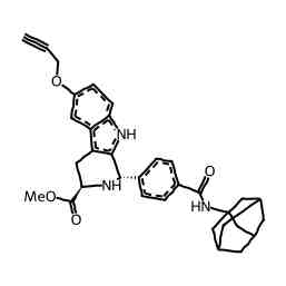 C#CCOc1ccc2[nH]c3c(c2c1)C[C@H](C(=O)OC)N[C@H]3c1ccc(C(=O)NC23CC4CC(CC(C4)C2)C3)cc1